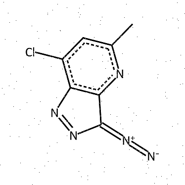 Cc1cc(Cl)c2c(n1)C(=[N+]=[N-])N=N2